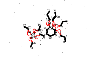 CCCOC1(OCCC)CCCC[Si]1(OCCC)OCCC.CCO[Si](OCC)(OCC)OCC